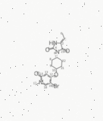 C/C=C1\NC(=O)N([C@H]2CC[C@H](Oc3cc(=O)n(C)cc3Br)CC2)C1=O